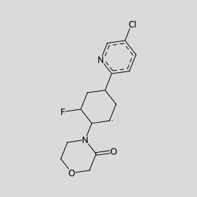 O=C1COCCN1C1[CH]CC(c2ccc(Cl)cn2)CC1F